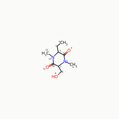 CCC1C(=O)N(C)C(CO)C(=O)N1C